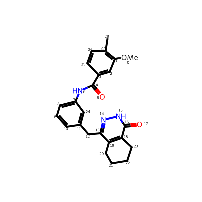 COc1cc(C(=O)Nc2cccc(Cc3n[nH]c(=O)c4c3CCCC4)c2)ccc1C